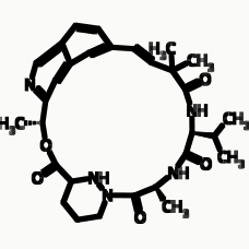 CC(C)[C@@H]1NC(=O)C(C)(C)/C=C/c2ccc3cnc(cc3c2)[C@@H](C)OC(=O)C2CCCN(N2)C(=O)[C@H](C)NC1=O